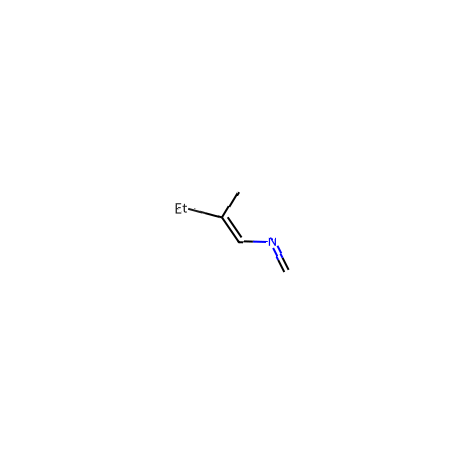 C=N/C=C(\C)CC